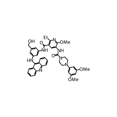 CCc1nc(OC)c(NC(=O)N2CCN(c3cc(OC)cc(OC)c3)CC2)cc1C(=O)Nc1cc(CO)cc(Nc2c3ccccc3nc3ccccc23)c1